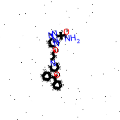 CC(C)(C(N)=O)c1nnc2ccc(OCCCN3CCC(OC(c4ccccc4)c4ccccc4)CC3)nn12